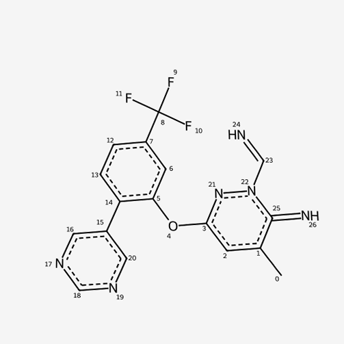 Cc1cc(Oc2cc(C(F)(F)F)ccc2-c2cncnc2)nn(C=N)c1=N